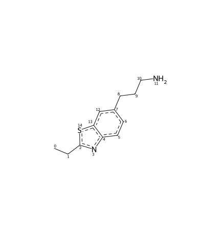 CCc1nc2ccc(CCCN)cc2s1